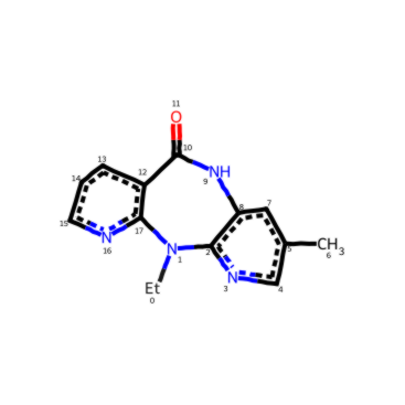 CCN1c2ncc(C)cc2NC(=O)c2cccnc21